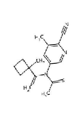 C=C(N(C(C)=S)c1cnc(C#N)c(C)c1)C1(C)CCC1